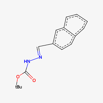 CC(C)(C)OC(=O)N/N=C/c1ccc2ccccc2c1